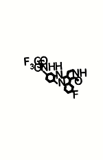 Cc1ccc(CNS(=O)(=O)C(F)(F)F)cc1Nc1nc2ccc(F)cc2c2c(=O)[nH]ccc12